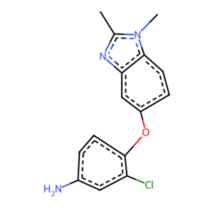 Cc1nc2cc(Oc3ccc(N)cc3Cl)ccc2n1C